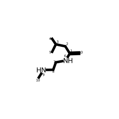 C=C(CC(C)C)NCCNC